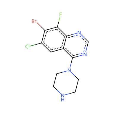 Fc1c(Br)c(Cl)cc2c(N3CCNCC3)ncnc12